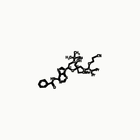 COC[C@@](CO)(COP(OCCC#N)N(C(C)C)C(C)C)O[C@H](CO[Si](C)(C)C(C)(C)C)n1cnc2c(NC(=O)c3ccccc3)ncnc21